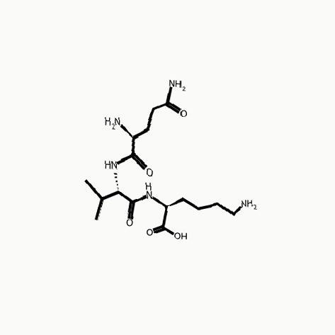 CC(C)[C@H](NC(=O)[C@@H](N)CCC(N)=O)C(=O)N[C@@H](CCCCN)C(=O)O